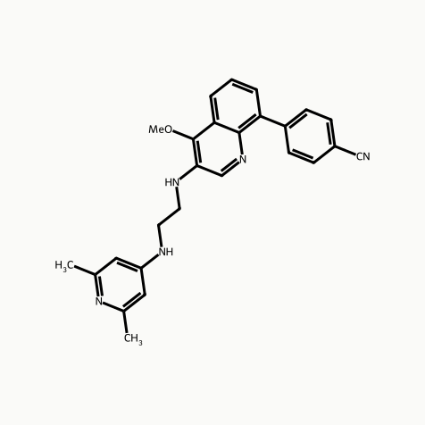 COc1c(NCCNc2cc(C)nc(C)c2)cnc2c(-c3ccc(C#N)cc3)cccc12